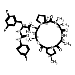 C[C@H]1CC2C(=O)O[C@@H](C)[C@H](NC(=O)[C@H](Cc3cc(F)cc(F)c3)NC(=O)Nc3ccc(I)cc3)C(O)N3CCC[C@H]3C(=O)N(C)[C@@H](C)C(=O)N[C@@H](C)C(=O)N2C1